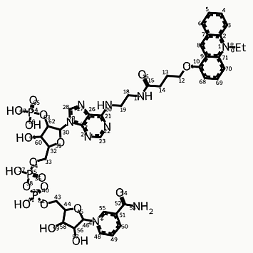 CC[n+]1c2ccccc2cc2c(OCCCC(=O)NCCNc3ncnc4c3ncn4C3OC(COP(=O)(O)OP(=O)(O)OCC4OC([n+]5cccc(C(N)=O)c5)C(O)C4O)C(O)C3OP(=O)(O)O)cccc21